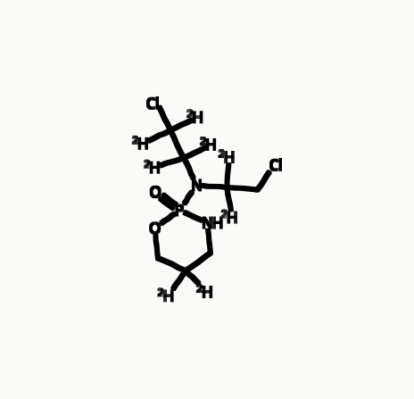 [2H]C1([2H])CNP(=O)(N(C([2H])([2H])CCl)C([2H])([2H])C([2H])([2H])Cl)OC1